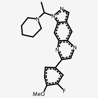 COc1ccc(-c2cnc3cc4cnn(C(C)N5CCCCC5)c4cc3n2)cc1F